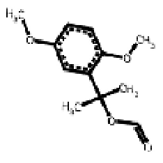 COc1ccc(OC)c(C(C)(C)O[C]=O)c1